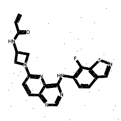 C=CC(=O)NC1CN(c2ccc3ncnc(Nc4ccc5cnsc5c4F)c3n2)C1